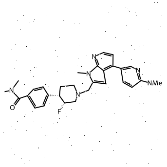 CNc1ccc(-c2ccnc3c2cc(CN2CC[C@@H](c4ccc(C(=O)N(C)C)cc4)[C@@H](F)C2)n3C)cn1